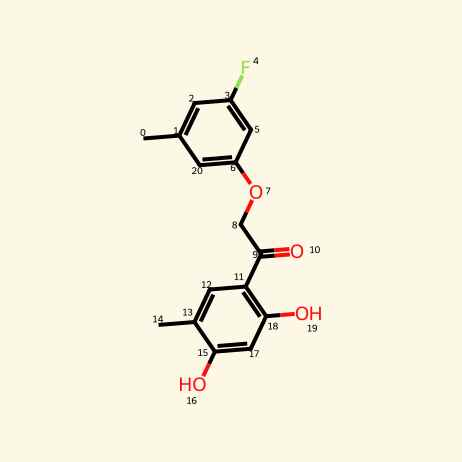 Cc1cc(F)cc(OCC(=O)c2cc(C)c(O)cc2O)c1